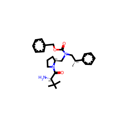 C[C@H](CN(C[C@@H]1CCCN1C(=O)[C@@H](N)C(C)(C)C)C(=O)OCc1ccccc1)c1ccccc1